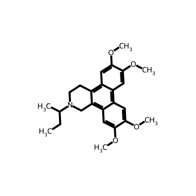 CCC(C)N1CCc2c(c3cc(OC)c(OC)cc3c3cc(OC)c(OC)cc23)C1